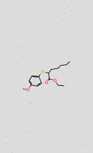 CCCCCC(Sc1ccc(OC)cc1)C(=O)OCC